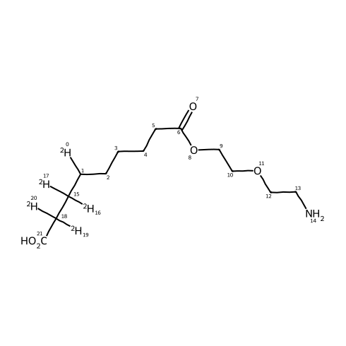 [2H]C(CCCCC(=O)OCCOCCN)C([2H])([2H])C([2H])([2H])C(=O)O